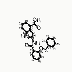 O=C(Nc1nc2c(C(=O)O)cccc2[nH]1)c1ncccc1OCc1ccccc1